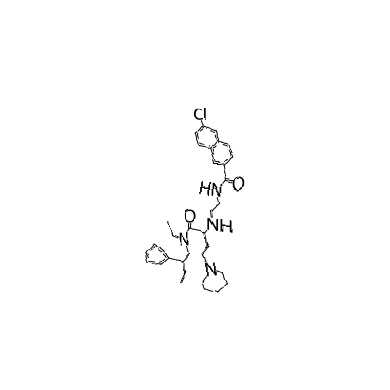 CC[C@H](CN(CC)C(=O)[C@H](CCN1CCCCC1)NCCNC(=O)c1ccc2cc(Cl)ccc2c1)c1ccccc1